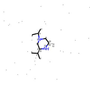 CC(C)[C@H]1CN(C(C)C)C[C@H](C)N1